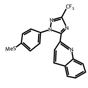 CSc1ccc(-n2nc(C(F)(F)F)nc2-c2ccc3ccccc3n2)cc1